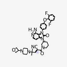 CC(C)(/C=C(\C#N)C(=O)N1CCC[C@@H](n2c(=O)n(-c3ccc(Oc4c(F)cccc4F)cc3)c3c(N)nccc32)C1)N1CCN(C2COC2)CC1